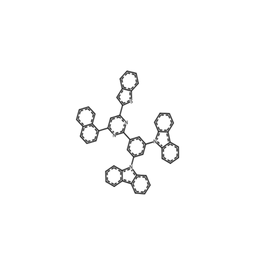 c1ccc2sc(-c3cc(-c4cccc5ccccc45)nc(-c4cc(-n5c6ccccc6c6ccccc65)cc(-n5c6ccccc6c6ccccc65)c4)n3)cc2c1